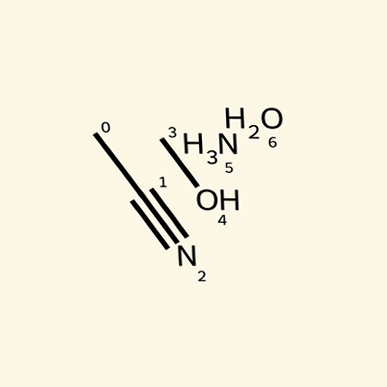 CC#N.CO.N.O